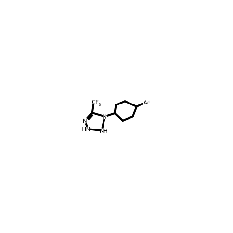 CC(=O)C1CCC(N2NNN=C2C(F)(F)F)CC1